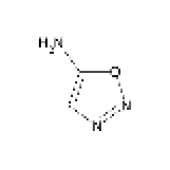 Nc1[c]nno1